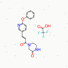 O=C(O)C(F)(F)F.O=C1CN(C(=O)/C=C/c2ccc(Oc3ccccc3)nc2)CCN1